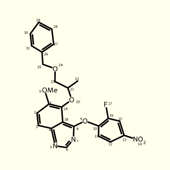 COc1ccc2ncnc(Oc3ccc([N+](=O)[O-])cc3F)c2c1OC(C)COCc1ccccc1